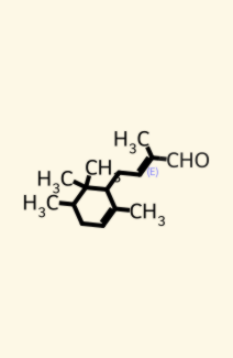 CC1=CCC(C)C(C)(C)C1C/C=C(\C)C=O